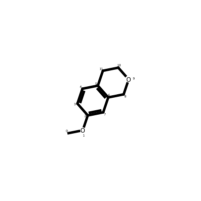 COc1ccc2c(c1)COCC2